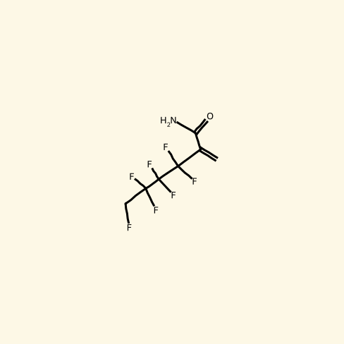 C=C(C(N)=O)C(F)(F)C(F)(F)C(F)(F)CF